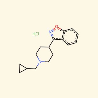 Cl.c1ccc2c(C3CCN(CC4CC4)CC3)noc2c1